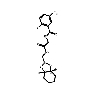 O=C(CNC(=O)c1cc(C(F)(F)F)ccc1F)NCB1O[C@H]2CCCC[C@H]2O1